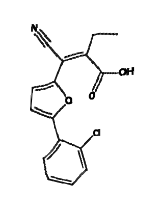 CCC(C(=O)O)=C(C#N)c1ccc(-c2ccccc2Cl)o1